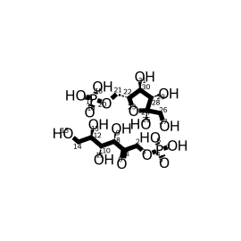 O=C(COP(=O)(O)O)[C@@H](O)[C@H](O)[C@H](O)CO.O=P(O)(O)OC[C@H]1O[C@](O)(CO)[C@@H](O)[C@@H]1O